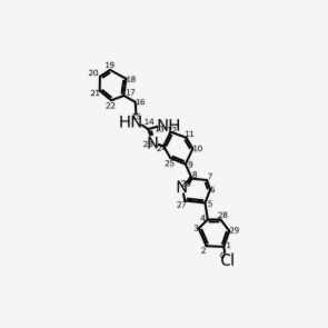 Clc1ccc(-c2ccc(-c3ccc4[nH]c(NCc5ccccc5)nc4c3)nc2)cc1